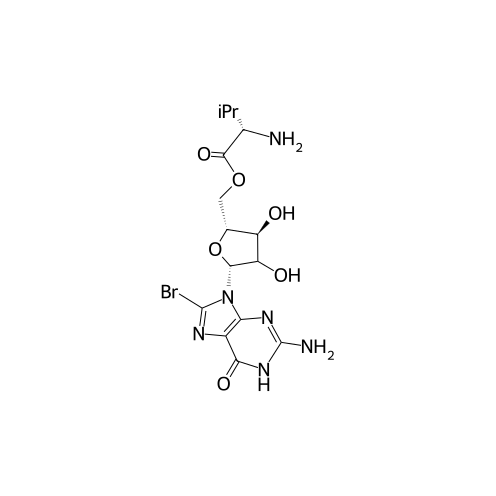 CC(C)[C@H](N)C(=O)OC[C@H]1O[C@@H](n2c(Br)nc3c(=O)[nH]c(N)nc32)C(O)[C@@H]1O